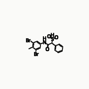 Cc1c(Br)cc(NC(=O)C(c2ccccc2)[SH](=O)=O)cc1Br